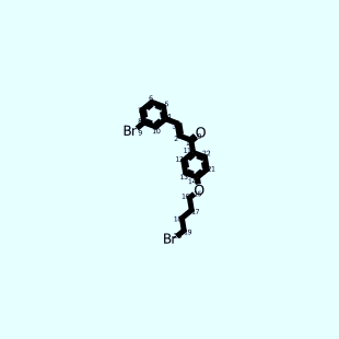 O=C(C=Cc1cccc(Br)c1)c1ccc(OCCCCBr)cc1